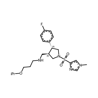 CC(C)OCCCNC[C@@H]1CN(S(=O)(=O)c2cn(C)cn2)C[C@H]1c1ccc(F)cc1